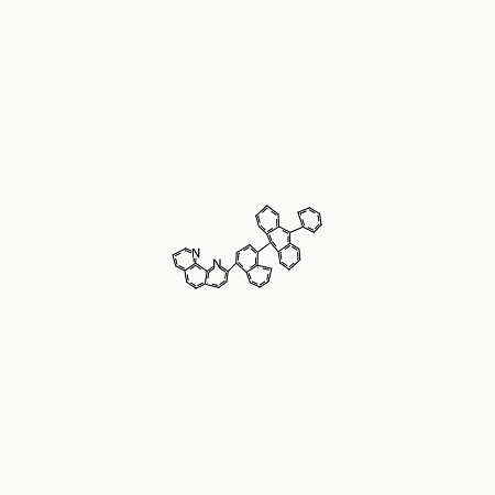 c1ccc(-c2c3ccccc3c(-c3ccc(-c4ccc5ccc6cccnc6c5n4)c4ccccc34)c3ccccc23)cc1